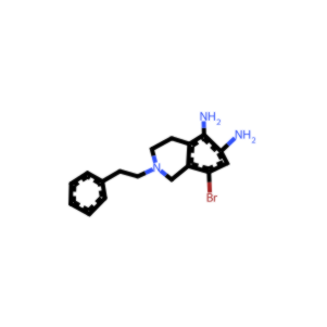 Nc1cc(Br)c2c(c1N)CCN(CCc1ccccc1)C2